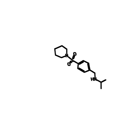 CC(C)NCc1ccc(S(=O)(=O)N2CCCCC2)cc1